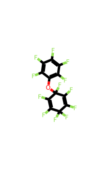 FC1=C(F)C(F)(Oc2c(F)c(F)c(F)c(F)c2F)C(F)=C(F)C1(F)F